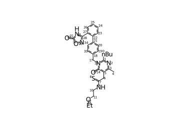 CCCCc1nc(C)c(CC(=S)NCCOCC)c(=O)n1Cc1ccc(-c2ccccc2-c2noc(=O)[nH]2)cc1